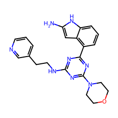 Nc1cc2c(-c3nc(NCCc4cccnc4)nc(N4CCOCC4)n3)cccc2[nH]1